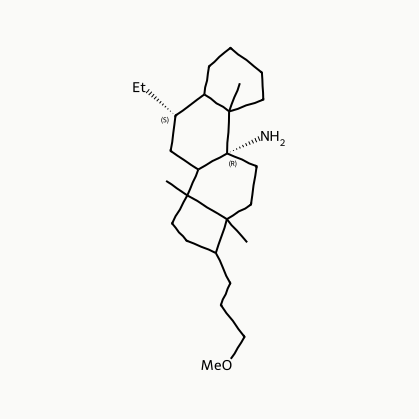 CC[C@H]1CC2C3(C)CCC(CCCOC)C3(C)CC[C@]2(N)C2(C)CCCCC12